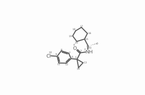 C[C@H](NC(=O)C1(c2ccc(Cl)cc2)CC1)C1CCCCC1